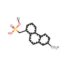 CCOP(=O)(O)Cc1cccc2c1ccc1cc(C(=O)O)ccc12